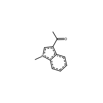 CC(=O)c1cn(C)c2cc[c]cc12